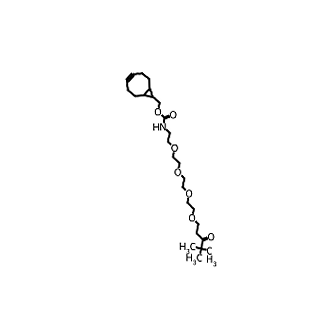 CC(C)(C)C(=O)CCOCCOCCOCCOCCNC(=O)OCC1C2CCC#CCCC21